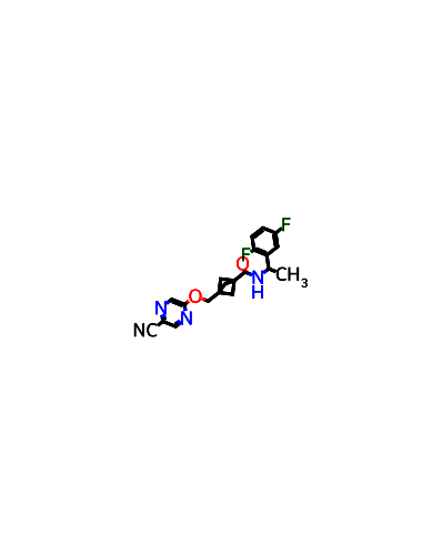 CC(NC(=O)C12CC(COc3cnc(C#N)cn3)(C1)C2)c1cc(F)ccc1F